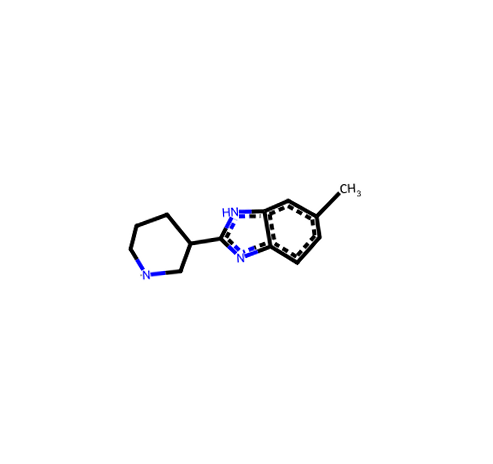 Cc1ccc2nc(C3CCC[N]C3)[nH]c2c1